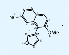 COc1ccc2ccc(C#N)cc2c1-c1ccoc1